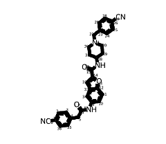 N#Cc1ccc(CC(=O)Nc2ccc3oc(C(=O)NC4CCN(Cc5ccc(C#N)cc5)CC4)cc3c2)cc1